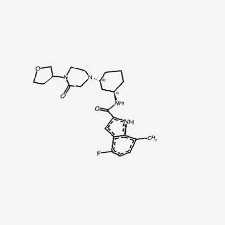 Cc1ccc(F)c2cc(C(=O)N[C@@H]3CCC[C@@H](N4CCN(C5CCOC5)C(=O)C4)C3)[nH]c12